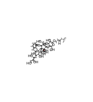 CC(C)CNCCO[C@@H]1OC(CO)[C@@H](O[C@@H]2OC(CO)[C@H](O)C(O[C@@](O)(CC(O)[C@H](C[C@H](O)[C@H](O)CO)NC(=O)Cc3ccccc3)C(=O)O)C2O)C(O)C1O